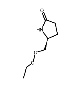 CCOOC[C@@H]1CCC(=O)N1